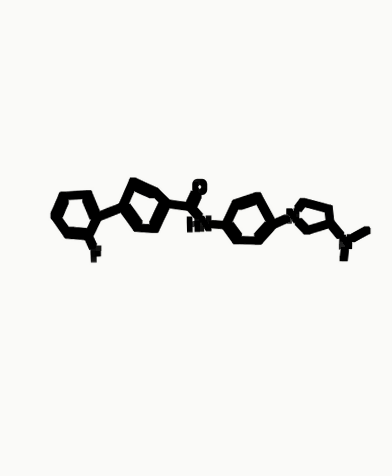 CN(C)C1CCN(c2ccc(NC(=O)c3ccc(-c4ccccc4F)cc3)cc2)C1